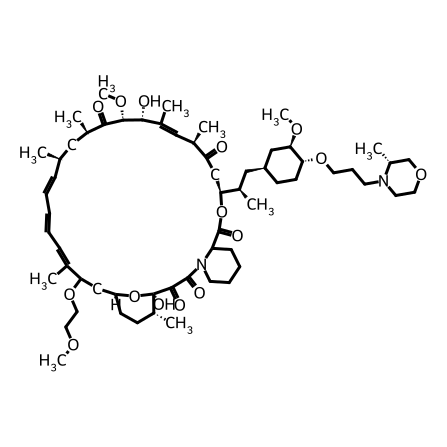 COCCOC1C[C@@H]2CC[C@@H](C)[C@@](O)(O2)C(=O)C(=O)N2CCCCC2C(=O)O[C@H]([C@H](C)C[C@@H]2CC[C@@H](OCCCN3CCOC[C@H]3C)[C@H](OC)C2)CC(=O)[C@H](C)/C=C(\C)[C@@H](O)[C@@H](OC)C(=O)[C@H](C)C[C@H](C)/C=C/C=C/C=C/1C